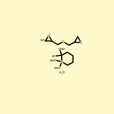 C(OCC1CO1)C1CO1.CCCC1(OC)CCCC[Si]1(OC)OC.O.[SiH4]